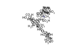 CN(Cc1cnc2nc(N)nc(N)c2n1)c1ccc(C(=O)N[C@@H](CCC(=O)O)C(=O)O)cc1.COc1c(C)c2c(c(O)c1C/C=C(\C)CCC(=O)O)C(=O)OC2.Cc1oncc1C(=O)Nc1ccc(C(F)(F)F)cc1.Cn1cnc([N+](=O)[O-])c1Sc1ncnc2nc[nH]c12.NC(=O)c1ncn([C@@H]2O[C@H](CO)[C@@H](O)[C@H]2O)c1O.NP=O